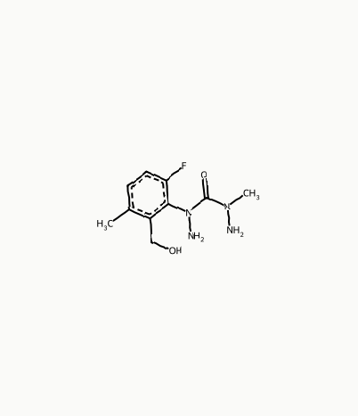 Cc1ccc(F)c(N(N)C(=O)N(C)N)c1CO